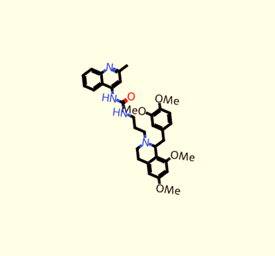 COc1cc2c(c(OC)c1)C(Cc1ccc(OC)c(OC)c1)N(CCCNC(=O)Nc1cc(C)nc3ccccc13)CC2